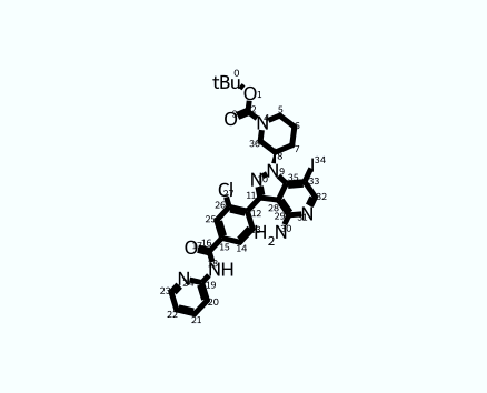 CC(C)(C)OC(=O)N1CCC[C@@H](n2nc(-c3ccc(C(=O)Nc4ccccn4)cc3Cl)c3c(N)ncc(I)c32)C1